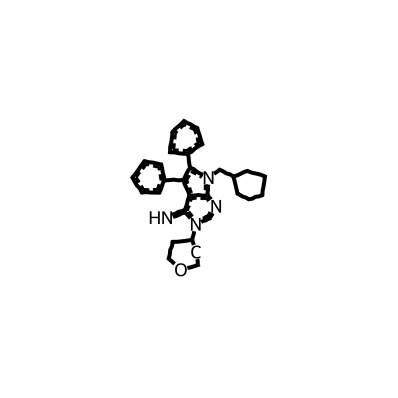 N=c1c2c(-c3ccccc3)c(-c3ccccc3)n(CC3CCCCC3)c2ncn1C1CCOCC1